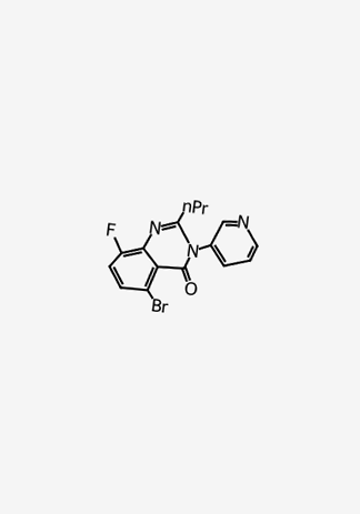 CCCc1nc2c(F)ccc(Br)c2c(=O)n1-c1cccnc1